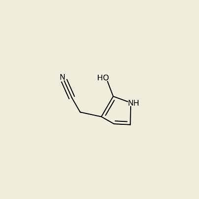 N#CCc1cc[nH]c1O